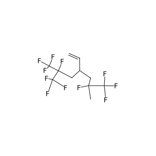 C=CC(CC(C)(F)C(F)(F)F)CC(F)(C(F)(F)F)C(F)(F)F